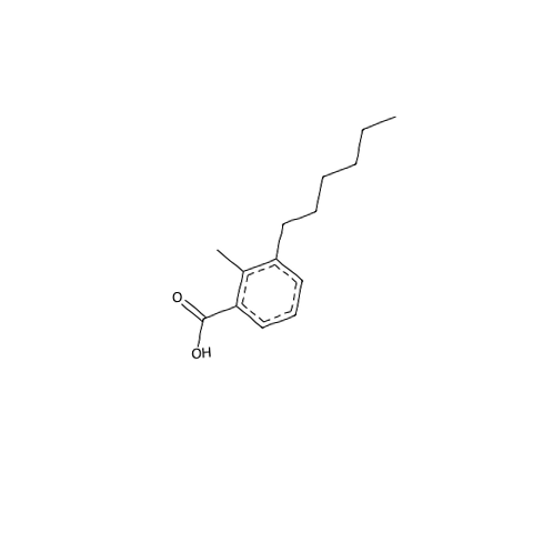 CCCCCCc1cccc(C(=O)O)c1C